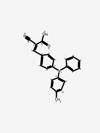 Cc1ccc(N(c2ccccc2)c2ccc(/C=C(/C#N)C(=O)O)cc2)cc1